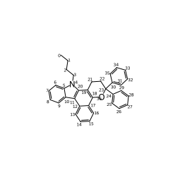 CCCCn1c2ccccc2c2c3ccccc3c3c(c21)CCC(c1ccccc1)(c1ccccc1)O3